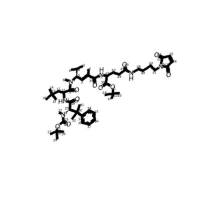 C/C(=C\[C@H](C(C)C)N(C)C(=O)C(CC(C)(C)C)NC(=O)[C@@H](N(C)C(=O)OC(C)(C)C)C(C)(C)c1ccccc1)C(=O)NC(CCC(=O)NCCCCN1C(=O)C=CC1=O)C(=O)OC(C)(C)C